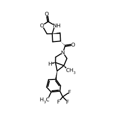 Cc1ccc([C@H]2[C@@H]3CN(C(=O)[C@H]4C[C@]5(COC(=O)N5)C4)C[C@@]32C)cc1C(F)(F)F